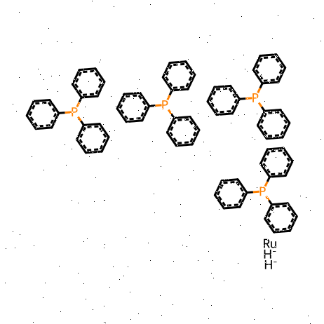 [H-].[H-].[Ru].c1ccc(P(c2ccccc2)c2ccccc2)cc1.c1ccc(P(c2ccccc2)c2ccccc2)cc1.c1ccc(P(c2ccccc2)c2ccccc2)cc1.c1ccc(P(c2ccccc2)c2ccccc2)cc1